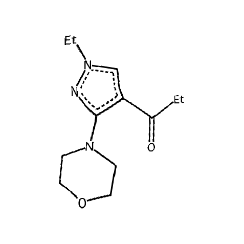 CCC(=O)c1cn(CC)nc1N1CCOCC1